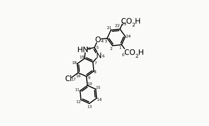 O=C(O)c1cc(Oc2nc3cc(-c4ccccc4)c(Cl)cc3[nH]2)cc(C(=O)O)c1